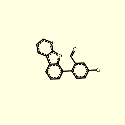 O=Cc1cc(Cl)ccc1-c1cccc2c1oc1ncccc12